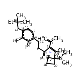 C=C(C)/C(C(=C)CCc1ccc(CC(C)(C)CC)c(F)c1F)=C(\C)C1(N(C)C)CCC1